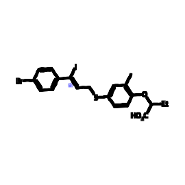 CCC(Oc1ccc(SC/C=C(\I)c2ccc(Br)cc2)cc1C)C(=O)O